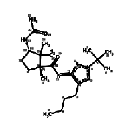 CCCCc1cn(C(C)(C)C)sc1=NC(=O)[C@]1(C)CC[C@H](NC(N)=O)C1(C)C